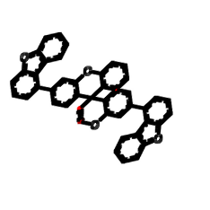 c1ccc2c(c1)Oc1cc(-c3cccc4oc5ccccc5c34)ccc1C21c2ccccc2Oc2cc(-c3cccc4oc5ccccc5c34)ccc21